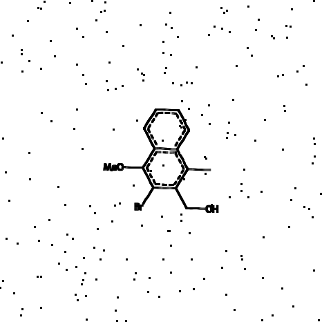 COc1c(Br)c(CO)c(C)c2ccccc12